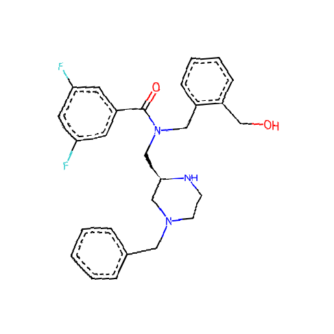 O=C(c1cc(F)cc(F)c1)N(Cc1ccccc1CO)C[C@@H]1CN(Cc2ccccc2)CCN1